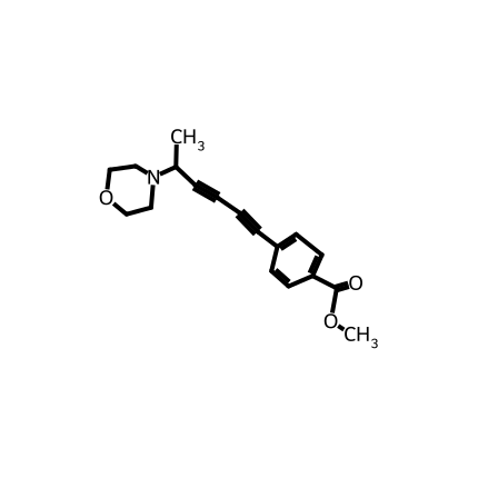 COC(=O)c1ccc(C#CC#CC(C)N2CCOCC2)cc1